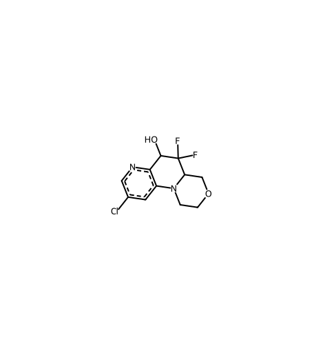 OC1c2ncc(Cl)cc2N2CCOCC2C1(F)F